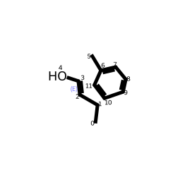 CC/C=C/O.Cc1ccccc1